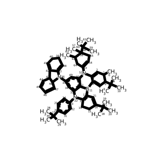 CC1C=C2C(=CC1C(C)(C)C)B1C3=C(CCC(C(C)(C)C)=C3)N(c3ccc(C(C)(C)C)cc3)c3cc(N4C5=CCCC=C5C5C=CC=CC54)cc(c31)N2C1=CCC(C)(C(C)(C)C)C(C)C1